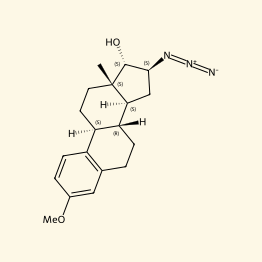 COc1ccc2c(c1)CC[C@@H]1[C@@H]2CC[C@]2(C)[C@H](O)[C@@H](N=[N+]=[N-])C[C@@H]12